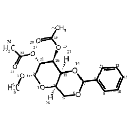 CO[C@H]1O[C@@H]2COC(c3ccccc3)O[C@@H]2[C@H](OC(C)=O)[C@H]1OC(C)=O